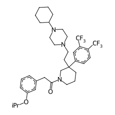 CC(C)Oc1cccc(CC(=O)N2CCCC(CCN3CCN(C4CCCCC4)CC3)(c3ccc(C(F)(F)F)c(C(F)(F)F)c3)C2)c1